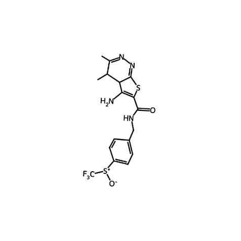 CC1=NN=C2SC(C(=O)NCc3ccc([S+]([O-])C(F)(F)F)cc3)=C(N)C2C1C